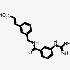 N=C(N)Nc1cccc(C(=O)NCc2cccc(/C=C/C(=O)O)c2)c1